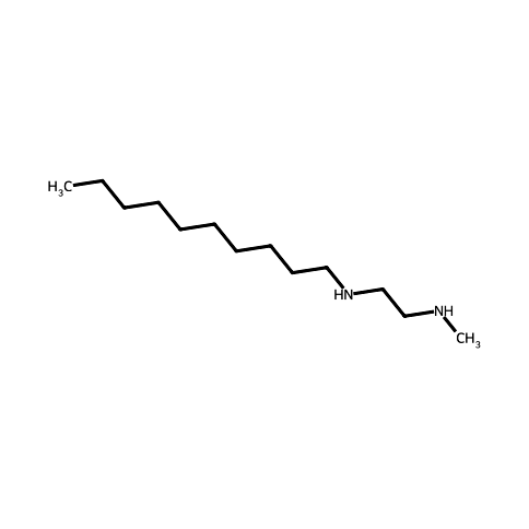 CCCCCCCCCCNCCNC